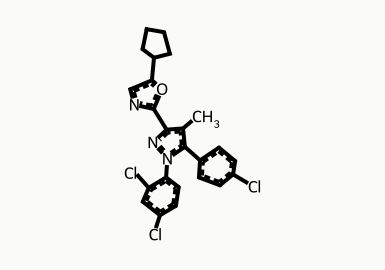 Cc1c(-c2ncc(C3CCCC3)o2)nn(-c2ccc(Cl)cc2Cl)c1-c1ccc(Cl)cc1